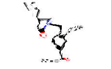 COC(=O)c1ccc(CN2CC(C(F)(F)F)CC2=O)c(OC)c1